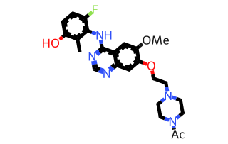 COc1cc2c(Nc3c(F)ccc(O)c3C)ncnc2cc1OCCN1CCN(C(C)=O)CC1